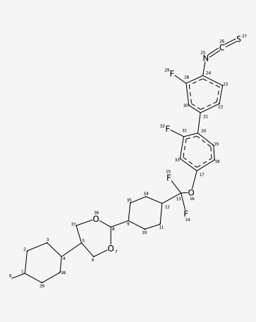 CC1CCC(C2COC(C3CCC(C(F)(F)Oc4ccc(-c5ccc(N=C=S)c(F)c5)c(F)c4)CC3)OC2)CC1